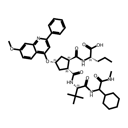 CCC[C@H](NC(=O)[C@@H]1C[C@@H](Oc2cc(-c3ccccc3)nc3cc(OC)ccc23)C[C@H]1C(=O)N[C@H](C(=O)NC(C(=O)NC)C1CCCCC1)C(C)(C)C)C(=O)O